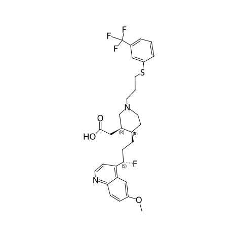 COc1ccc2nccc([C@@H](F)CC[C@@H]3CCN(CCCSc4cccc(C(F)(F)F)c4)C[C@@H]3CC(=O)O)c2c1